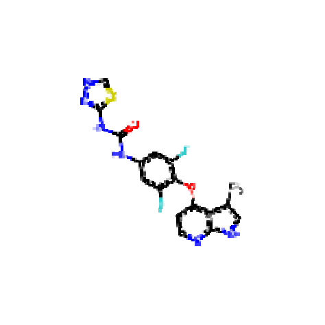 O=C(Nc1cc(F)c(Oc2ccnc3[nH]cc(C(F)(F)F)c23)c(F)c1)Nc1nncs1